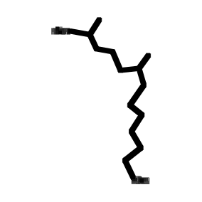 CCCCCCCCCCCCCCCCC(C)CCCC(C)CCCCCCCCC